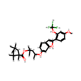 COc1ccc(-c2cc3ccc(OC(C)CC(C)(C)OC(=O)C(C)(CC(C)(C)C)C(C)(C)C)cc3o2)c(OC(F)(F)F)c1